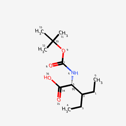 CCC(CC)[C@@H](NC(=O)OC(C)(C)C)C(=O)O